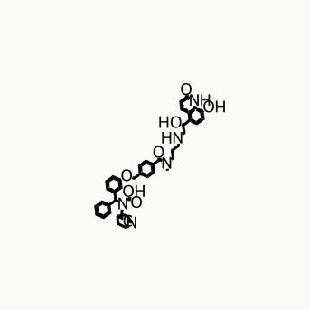 CN(CCCNCC(O)c1ccc(O)c2[nH]c(=O)ccc12)C(=O)c1ccc(COc2cccc(C(c3ccccc3)N(C(=O)O)C3CN4CCC3CC4)c2)cc1